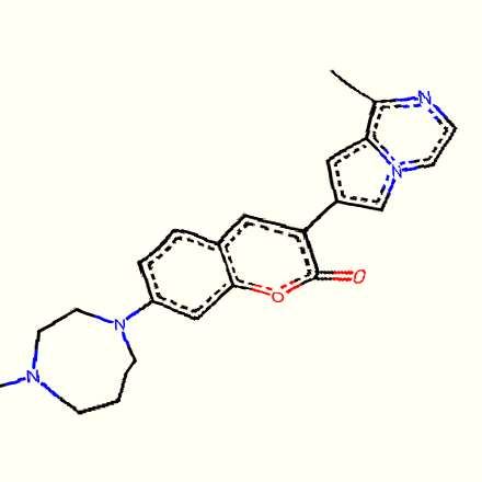 Cc1nccn2cc(-c3cc4ccc(N5CCCN(C)CC5)cc4oc3=O)cc12